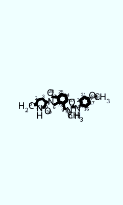 C=C1CCC(N2Cc3c(CN(C)C(=O)Nc4ccc(OC)cc4)cccc3C2=O)C(=O)N1